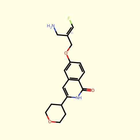 NC/C(=C\F)COc1ccc2c(=O)[nH]c(C3CCOCC3)cc2c1